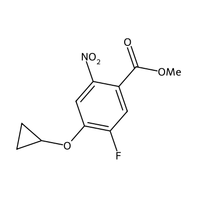 COC(=O)c1cc(F)c(OC2CC2)cc1[N+](=O)[O-]